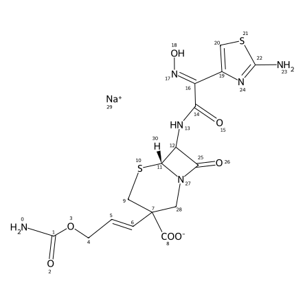 NC(=O)OCC=CC1(C(=O)[O-])CS[C@@H]2C(NC(=O)C(=NO)c3csc(N)n3)C(=O)N2C1.[Na+]